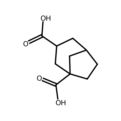 O=C(O)C1CC2CCC(C(=O)O)(C2)C1